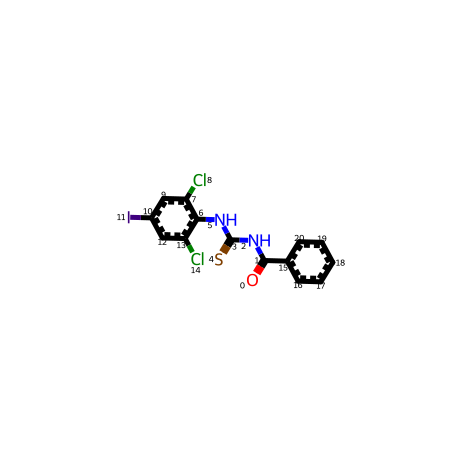 O=C(NC(=S)Nc1c(Cl)cc(I)cc1Cl)c1ccccc1